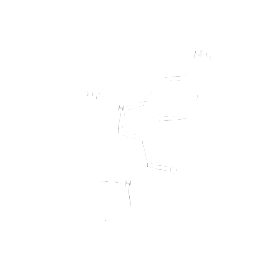 Cn1cc(C(=O)N2CCCC2)c2ccc(N)cc21